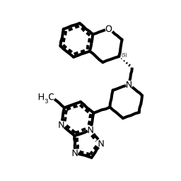 Cc1cc(C2CCCN(C[C@H]3COc4ccccc4C3)C2)n2ncnc2n1